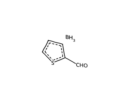 B.O=Cc1cccs1